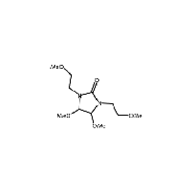 COCCN1C(=O)N(CCOC)C(OC)C1OC